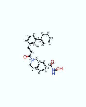 Cc1c(/C=C/C(=O)N2CCc3ccc(C(=O)NO)cc3C2)cccc1-c1ccccc1